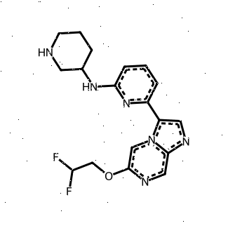 FC(F)COc1cn2c(-c3cccc(NC4CCCNC4)n3)cnc2cn1